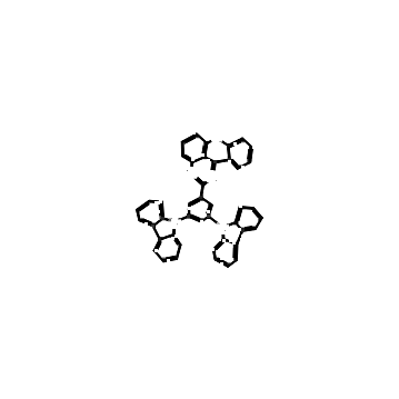 c1ccc2c(c1)Sc1cccc3nc(-c4cc(-n5c6ccccc6c6ccccc65)cc(-n5c6ccccc6c6ccccc65)c4)nc-2c13